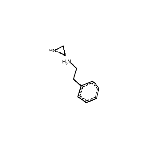 C1CN1.NCCc1ccccc1